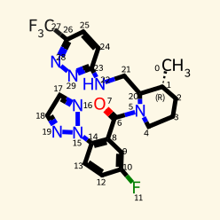 C[C@@H]1CCCN(C(=O)c2cc(F)ccc2-n2nccn2)C1CNc1ccc(C(F)(F)F)nn1